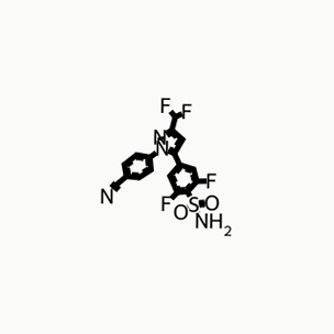 N#Cc1ccc(-n2nc(C(F)F)cc2-c2cc(F)c(S(N)(=O)=O)c(F)c2)cc1